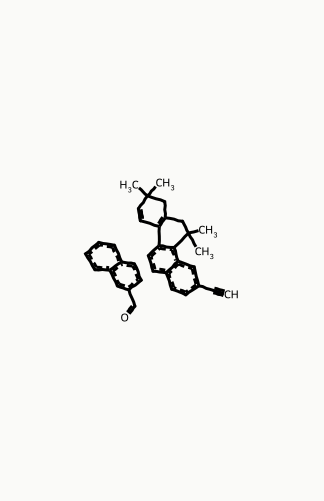 C#Cc1ccc2ccc3c(c2c1)C(C)(C)CC1=C3C=CC(C)(C)C1.O=Cc1ccc2ccccc2c1